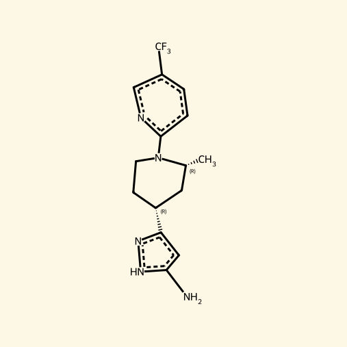 C[C@@H]1C[C@H](c2cc(N)[nH]n2)CCN1c1ccc(C(F)(F)F)cn1